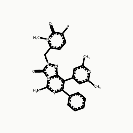 Cc1cc(-c2c(-c3ccccc3)nc(N)n3c(=O)n(Cc4ccc(F)c(=O)n4C)nc23)cc(C)n1